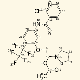 CC(=O)O[C@H](COc1cc(NC(=O)c2cccnc2Cl)ccc1C(F)(F)C(F)(F)F)N1CCCC1